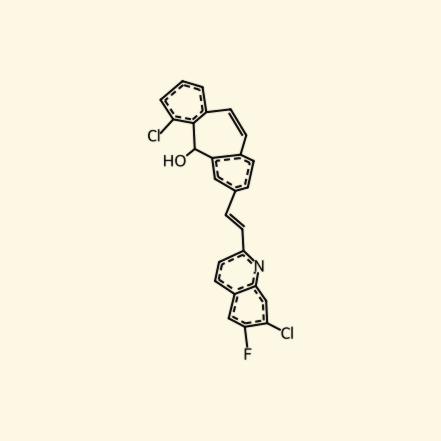 OC1c2cc(/C=C/c3ccc4cc(F)c(Cl)cc4n3)ccc2C=Cc2cccc(Cl)c21